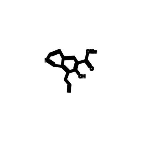 C=CCc1c(O)c(C(=O)OC)cc2ccncc12